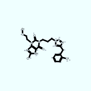 CCOCCn1c(=O)n(CCCn2nnc(Cc3ccccc3C(F)(F)F)n2)c(=O)c2[nH]c(Cl)nc21